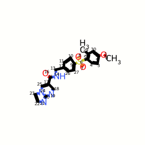 COc1ccc(S(=O)(=O)c2ccc(CNC(=O)c3cnc4nccn4c3)cc2)c(C)c1